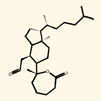 CC(C)CCC[C@@H](C)[C@H]1CCC2[C@H](CC=O)C([C@@]3(C)CCCCC(=O)O3)CC[C@@]21C